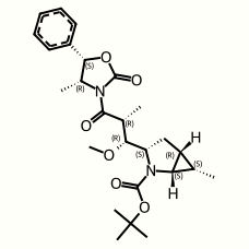 CO[C@H]([C@@H](C)C(=O)N1C(=O)O[C@@H](c2ccccc2)[C@H]1C)[C@@H]1C[C@@H]2[C@H](C)[C@@H]2N1C(=O)OC(C)(C)C